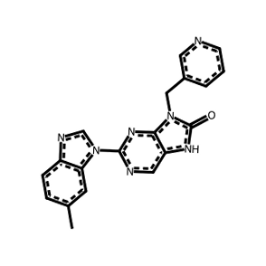 Cc1ccc2ncn(-c3ncc4[nH]c(=O)n(Cc5cccnc5)c4n3)c2c1